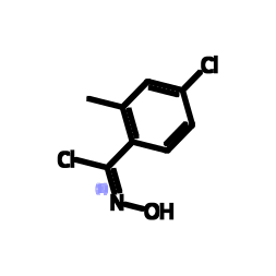 Cc1cc(Cl)ccc1/C(Cl)=N\O